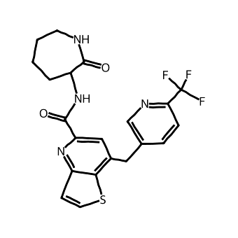 O=C(NC1CCCCNC1=O)c1cc(Cc2ccc(C(F)(F)F)nc2)c2sccc2n1